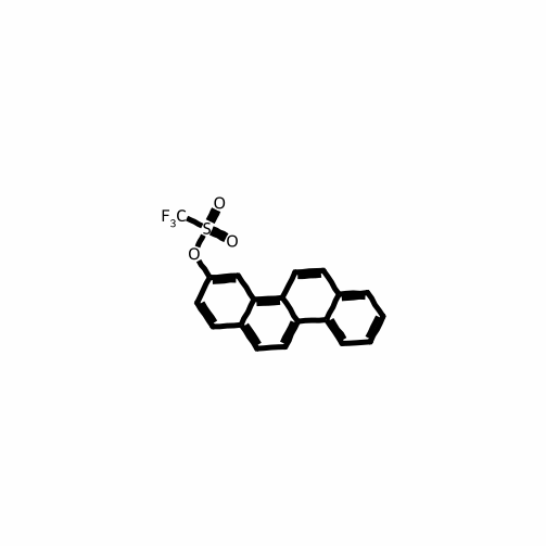 O=S(=O)(Oc1ccc2ccc3c4ccccc4ccc3c2c1)C(F)(F)F